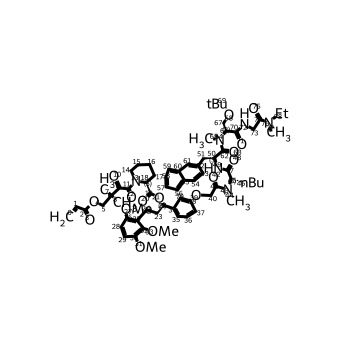 C=CC(=O)OCC(C)(C)C(=O)C(=O)N1CCCC[C@H]1C(=O)O[C@H](CCc1c(OC)ccc(OC)c1OC)c1cccc(OCC(=O)N(C)[C@@H](CCCC)C(=O)N[C@@H](Cc2ccc3ccccc3c2)C(=O)N(C)[C@@H](COC(C)(C)C)C(=O)NCC(=O)N(C)CC)c1